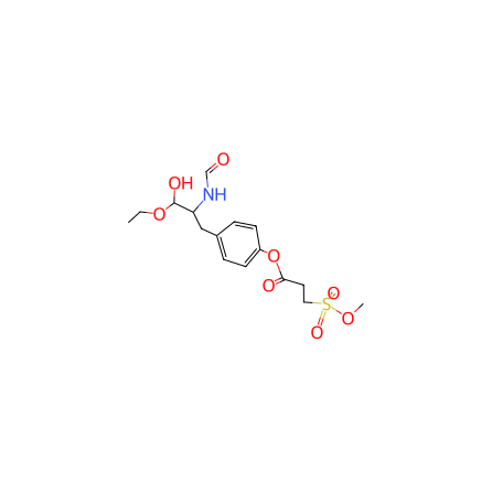 CCOC(O)C(Cc1ccc(OC(=O)CCS(=O)(=O)OC)cc1)NC=O